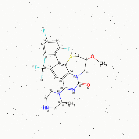 COC1CSc2c(-c3ccc(F)cc3F)c(C(F)(F)F)cc3c(N4CCNC[C@@H]4C)nc(=O)n(c23)C1